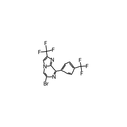 FC(F)(F)c1ccc(-c2nc(Br)cn3cc(C(F)(F)F)nc23)cc1